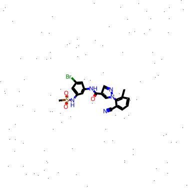 Cc1cccc(C#N)c1-n1cc(C(=O)Nc2cc(Br)cc(NS(C)(=O)=O)c2)cn1